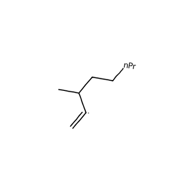 C=[C]C(C)CCCCC